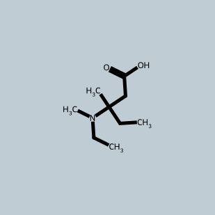 CCN(C)C(C)(CC)CC(=O)O